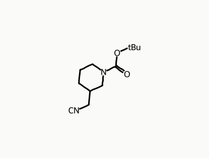 [C-]#[N+]CC1CCCN(C(=O)OC(C)(C)C)C1